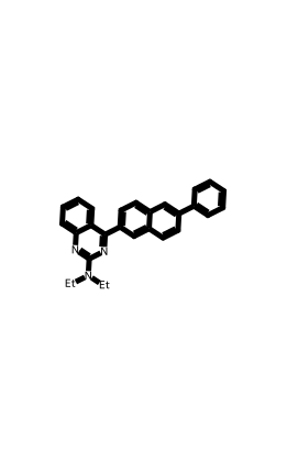 CCN(CC)c1nc(-c2ccc3cc(-c4ccccc4)ccc3c2)c2ccccc2n1